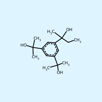 CCC(C)(O)c1cc(C(C)(C)O)cc(C(C)(C)O)c1